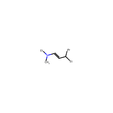 CCC(C=CN(C)CC)C(C)C